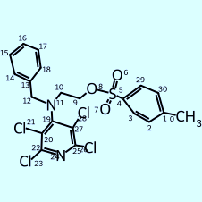 Cc1ccc(S(=O)(=O)OCCN(Cc2ccccc2)c2c(Cl)c(Cl)nc(Cl)c2Cl)cc1